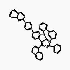 c1ccc(-c2nc(-c3cccc4ccccc34)c3c(n2)C2(c4ccccc4-c4ccccc42)c2cc(-c4ccc(-c5ccc6ccccc6c5)cc4)ccc2-3)cc1